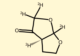 [2H]C1([2H])OC2([2H])OCC[C@@]2([2H])C1=O